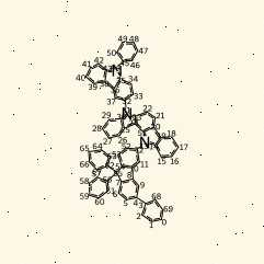 c1ccc(-c2ccc3c(c2)-c2cc(-n4c5ccccc5c5ccc6c(c7ccccc7n6-c6ccc7c(c6)c6ccccc6n7-c6ccccc6)c54)ccc2C3(c2ccccc2)c2ccccc2)cc1